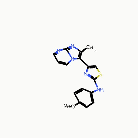 COc1ccc(Nc2nc(-c3c(C)nc4ncccn34)cs2)cc1